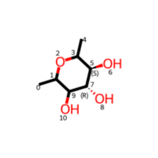 CC1OC(C)[C@@H](O)[C@H](O)C1O